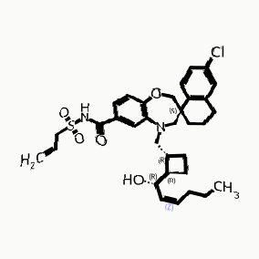 C=CCS(=O)(=O)NC(=O)c1ccc2c(c1)N(C[C@@H]1CC[C@H]1[C@@H](O)/C=C\CCC)C[C@@]1(CCCc3cc(Cl)ccc31)CO2